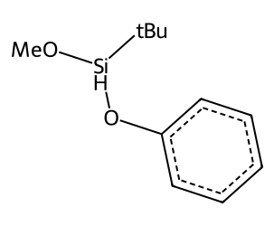 CO[SiH](Oc1ccccc1)C(C)(C)C